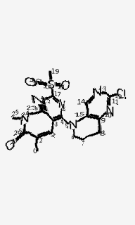 Cc1cc2c(N3CCCc4nc(Cl)ncc43)nc(S(C)(=O)=O)nc2n(C)c1=O